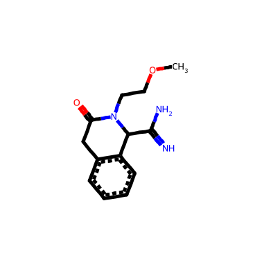 COCCN1C(=O)Cc2ccccc2C1C(=N)N